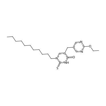 CCCCCCCCCCCn1cc(Cc2cnc(OCC)nc2)c(=O)[nH]c1=S